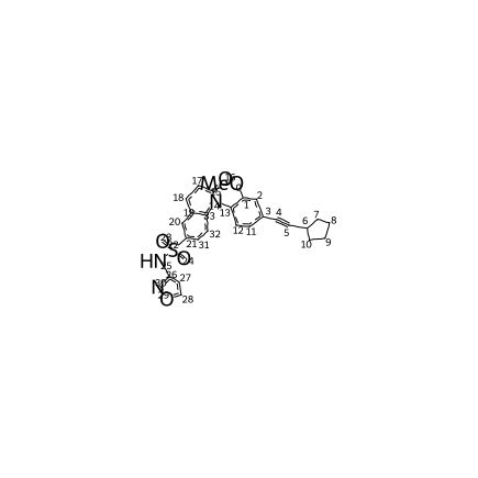 COc1cc(C#CC2CCCC2)ccc1-n1c(=O)ccc2cc(S(=O)(=O)Nc3ccon3)ccc21